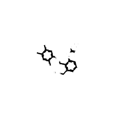 COC(=S)Nc1cccc(CO)c1COc1cc(C)c(C)cc1C